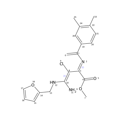 C=C(/N=C(C(=O)OC)\C(Cl)=C(/N)NCc1ccco1)c1ccc(C)c(C)c1